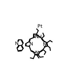 CCC1=C(CC)c2nc1c(CC)c1[nH]c(cc3nc(cc4c(CC)c(CC)c(c2CC)n4CC)C=C3)cc1CC.[Pt].c1ccc2ncccc2c1